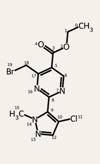 CCOC(=O)c1cnc(-c2c(Cl)cnn2C)nc1CBr